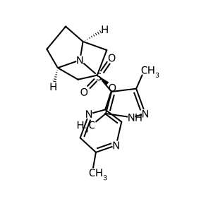 Cc1cnc(O[C@H]2C[C@H]3CC[C@@H](C2)N3S(=O)(=O)c2c(C)n[nH]c2C)cn1